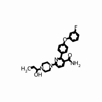 C=CC(O)N1CCN(c2ccc(C(N)=O)c(-c3ccc(Oc4cccc(F)c4)cc3)n2)CC1